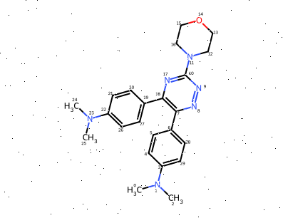 CN(C)c1ccc(-c2nnc(N3CCOCC3)nc2-c2ccc(N(C)C)cc2)cc1